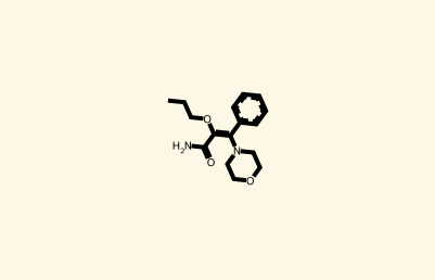 CCCOC(C(N)=O)=C(c1ccccc1)N1CCOCC1